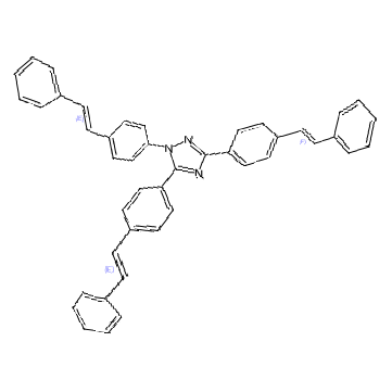 C(=C\c1ccc(-c2nc(-c3ccc(/C=C/c4ccccc4)cc3)n(-c3ccc(/C=C/c4ccccc4)cc3)n2)cc1)/c1ccccc1